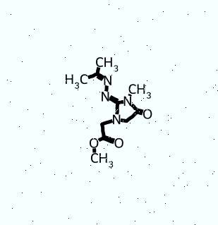 COC(=O)CN1CC(=O)N(C)C1=NN=C(C)C